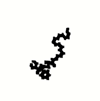 CC/C=C\C/C=C\C/C=C\C/C=C\C/C=C\CCCC(=O)NCC1C[C@]1(C(=O)N(CC)CC)c1ccccc1